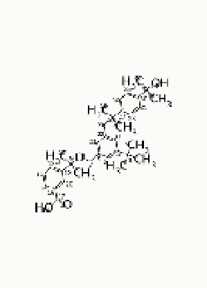 CC(C)(C)c1cc(COC(C)(C)c2cccc(C(=O)O)c2)cc(CC(C)(C)c2ccc(C(C)(C)O)cc2)c1